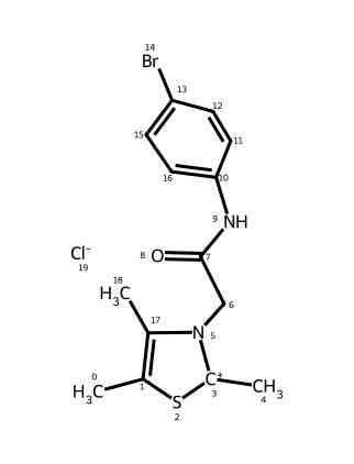 Cc1s[c+](C)n(CC(=O)Nc2ccc(Br)cc2)c1C.[Cl-]